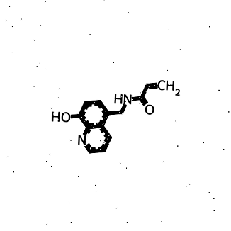 C=CC(=O)NCc1ccc(O)c2ncccc12